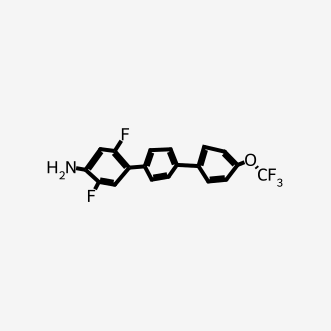 Nc1cc(F)c(-c2ccc(-c3ccc(OC(F)(F)F)cc3)cc2)cc1F